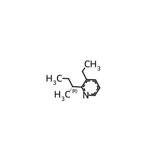 CCc1cccnc1[C@H](C)CC